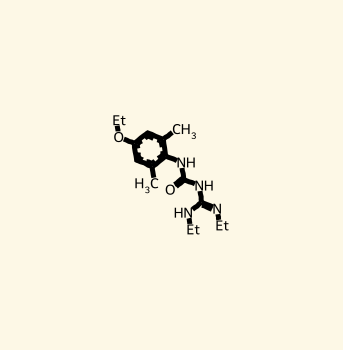 CCN=C(NCC)NC(=O)Nc1c(C)cc(OCC)cc1C